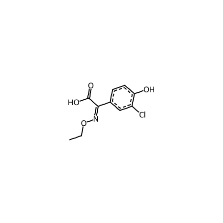 CCON=C(C(=O)O)c1ccc(O)c(Cl)c1